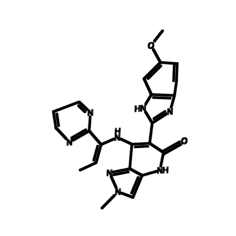 C/C=C(/Nc1c(-c2nc3ccc(OC)cc3[nH]2)c(=O)[nH]c2cn(C)nc12)c1ncccn1